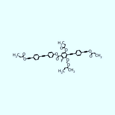 C=CC(=C)OCOc1c(F)c(C(=O)Oc2ccc(C#Cc3ccc(C#COC(=O)C=C)cc3)cc2)cc(OC(=O)C=C)c1C#Cc1ccc(C#COC(=O)C=C)cc1